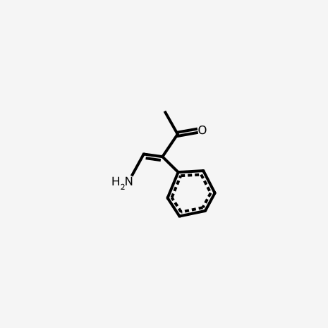 CC(=O)/C(=C/N)c1ccccc1